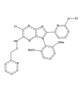 CCOc1cccc(-c2nc3nc(Cl)c(NSCc4ccccn4)nc3n2-c2c(OC)cccc2OC)n1